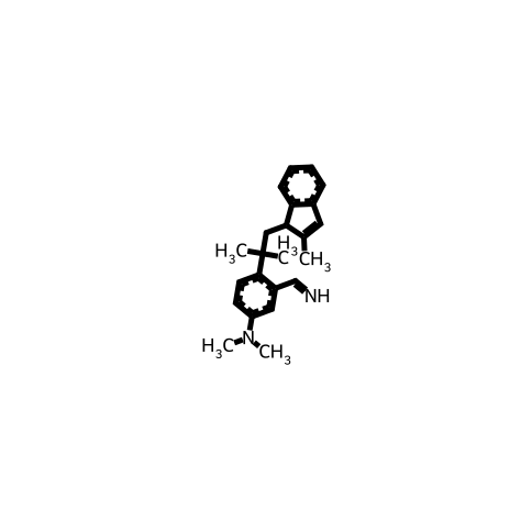 CC1=Cc2ccccc2C1CC(C)(C)c1ccc(N(C)C)cc1C=N